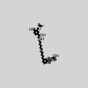 CC(=O)OCc1cc([C@@H](O)CNCCCCCCOCCCCc2cccc(S(=O)(=O)NCC(=O)O)c2)ccc1O